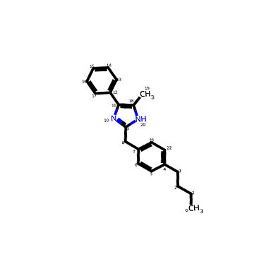 CCCCc1ccc(Cc2nc(-c3ccccc3)c(C)[nH]2)cc1